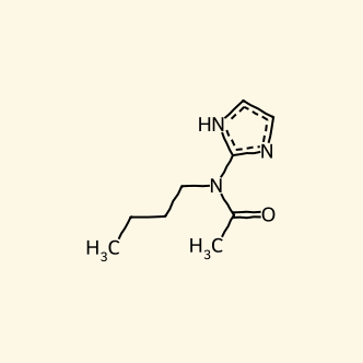 CCCCN(C(C)=O)c1ncc[nH]1